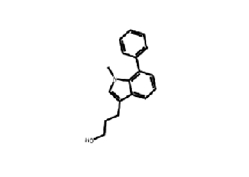 Cn1cc(CCCO)c2cccc(-c3ccccc3)c21